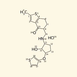 Cc1cc2c(s1)CCC(CNC1CCC(Oc3ccsc3)C1O)C2=O.Cl